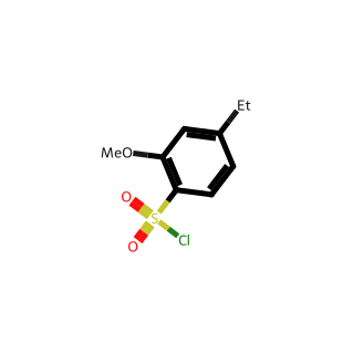 CCc1ccc(S(=O)(=O)Cl)c(OC)c1